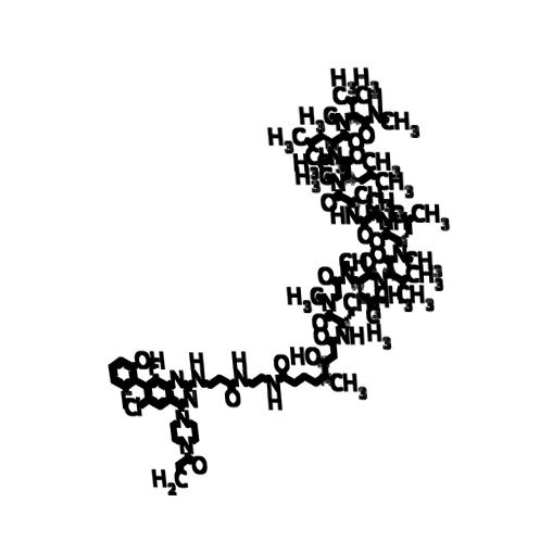 C=CC(=O)N1CCN(c2nc(NCCC(=O)NCCNC(=O)CCC[C@@H](C)[C@@H](O)CC(=O)N[C@@H](CC)C(=O)N(C)CC(=O)N(C)[C@@H](CC(C)C)C(=O)N[C@H](C(=O)N(C)[C@@H](CC(C)C)C(=O)N[C@@H](C)C(=O)N[C@H](C)C(=O)N(C)[C@@H](CC(C)C)C(=O)N(C)[C@@H](CC(C)C)C(=O)N(C)[C@H](C(=O)NC)C(C)C)C(C)C)nc3c(F)c(-c4c(O)cccc4F)c(Cl)cc23)CC1